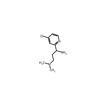 CN(C)CCC(N)c1cc(Cl)ccn1